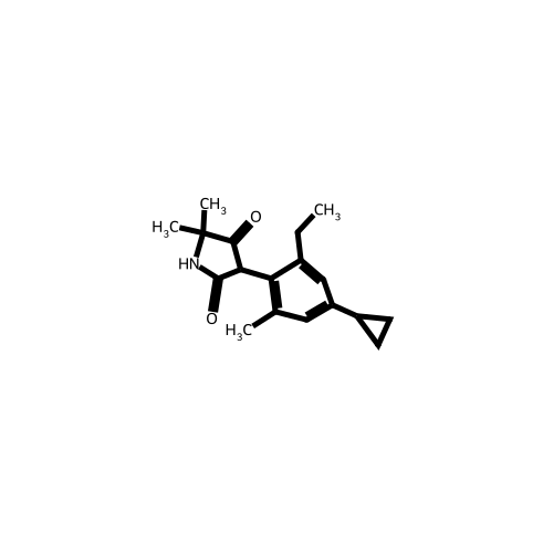 CCc1cc(C2CC2)cc(C)c1C1C(=O)NC(C)(C)C1=O